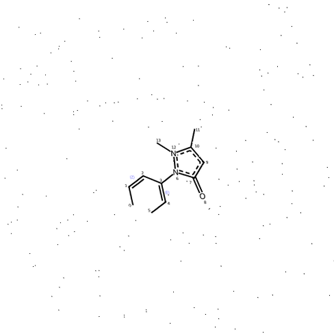 C/C=C\C(=C/C)n1c(=O)cc(C)n1C